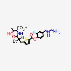 CCC(CC)(Cc1ccc(C(=O)Oc2ccc(CNCN)cc2F)s1)C(=O)N[C@H](C(=O)O)C(C)O